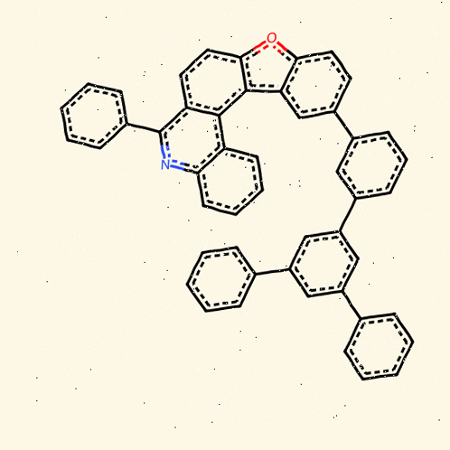 c1ccc(-c2cc(-c3ccccc3)cc(-c3cccc(-c4ccc5oc6ccc7c(-c8ccccc8)nc8ccccc8c7c6c5c4)c3)c2)cc1